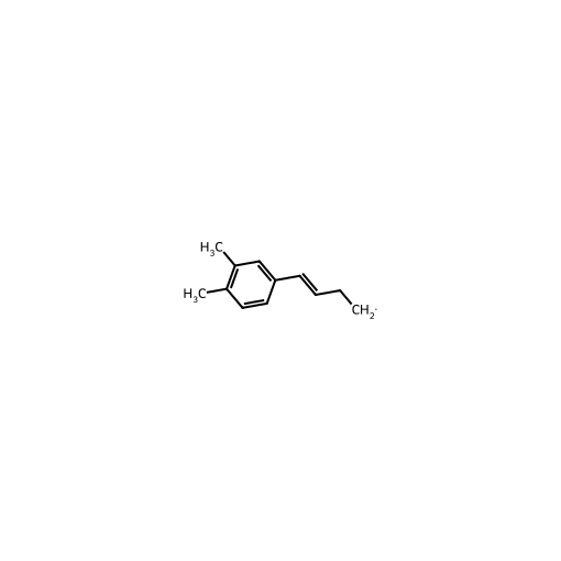 [CH2]CC=Cc1ccc(C)c(C)c1